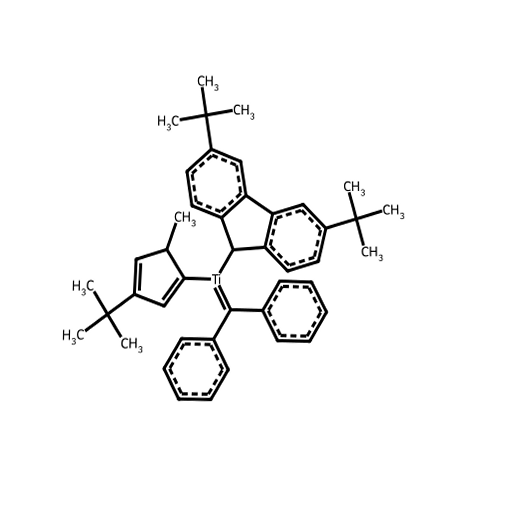 CC1C=C(C(C)(C)C)C=[C]1[Ti](=[C](c1ccccc1)c1ccccc1)[CH]1c2ccc(C(C)(C)C)cc2-c2cc(C(C)(C)C)ccc21